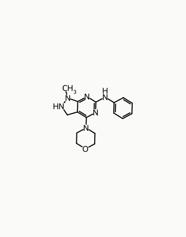 CN1NCc2c(N3CCOCC3)nc(Nc3ccccc3)nc21